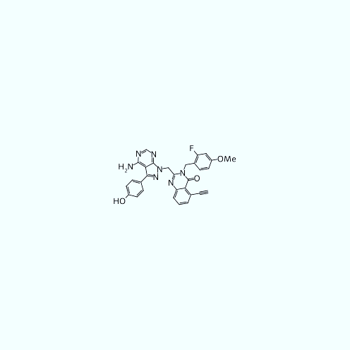 C#Cc1cccc2nc(Cn3nc(-c4ccc(O)cc4)c4c(N)ncnc43)n(Cc3ccc(OC)cc3F)c(=O)c12